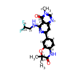 Cn1cnc2cc(-c3ccc4c(c3)OC(C)(C)C(=O)N4)nc(NCC(F)F)c2c1=O